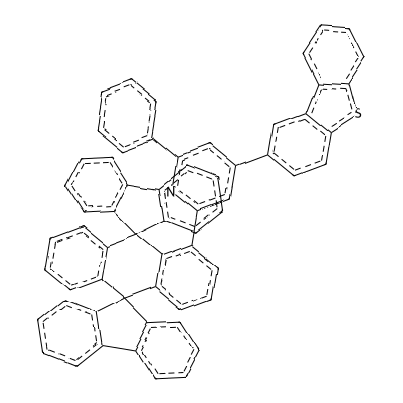 c1ccc(-c2cc(-c3ccc4sc5ccccc5c4c3)cc(-c3cccc4c3C3(c5ccccc5-c5ccccc53)c3ccccc3C43c4ccccc4-c4ccccc43)n2)cc1